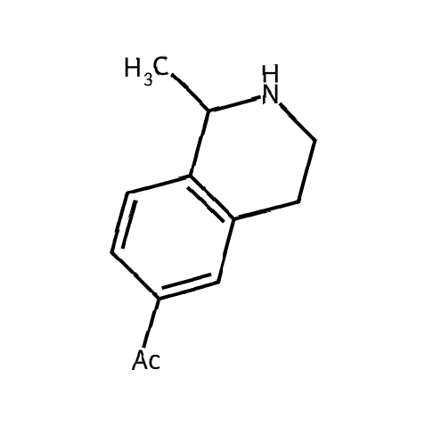 CC(=O)c1ccc2c(c1)CCNC2C